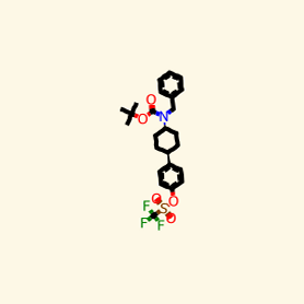 CC(C)(C)OC(=O)N(Cc1ccccc1)[C@H]1CC[C@H](c2ccc(OS(=O)(=O)C(F)(F)F)cc2)CC1